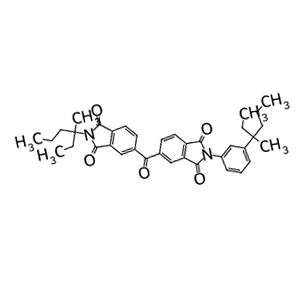 CCCC(C)(CC)c1cccc(N2C(=O)c3ccc(C(=O)c4ccc5c(c4)C(=O)N(C(C)(CC)CCC)C5=O)cc3C2=O)c1